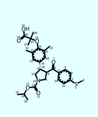 CSc1ccc(C(=O)C2CN(C(=O)OC(C)C)C[C@@H]2c2cc(C)c(OC(C)(C)C(=O)O)c(C)c2)cc1